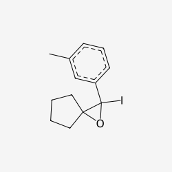 Cc1cccc(C2(I)OC23CCCC3)c1